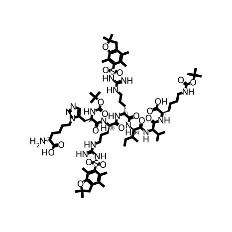 CCC(C)[C@@H](NC(=O)[C@@H](CCCNC(=N)NS(=O)(=O)c1c(C)c(C)c2c(c1C)OC(C)(C)C2)NC(=O)[C@@H](CCCNC(=N)NS(=O)(=O)c1c(C)c(C)c2c(c1C)OC(C)(C)C2)NC(=O)[C@@H](Cc1cnnn1CCCC[C@@H](N)C(=O)O)NC(=O)OC(C)(C)C)C(=O)NC(C(=O)N[C@H](CCCCNC(=O)OC(C)(C)C)C(=O)O)C(C)C